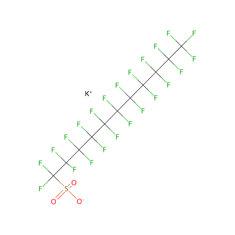 O=S(=O)([O-])C(F)(F)C(F)(F)C(F)(F)C(F)(F)C(F)(F)C(F)(F)C(F)(F)C(F)(F)C(F)(F)C(F)(F)C(F)(F)F.[K+]